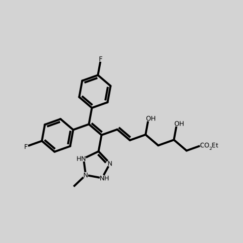 CCOC(=O)CC(O)CC(O)C=CC(C1=NNN(C)N1)=C(c1ccc(F)cc1)c1ccc(F)cc1